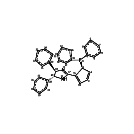 C1=C[C@H](P(c2ccccc2)c2ccccc2)C(C2=N[C@H](c3ccccc3)[C@@H](c3ccccc3)N2)=C1